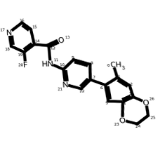 Cc1cc2c(cc1-c1ccc(NC(=O)c3ccncc3F)nc1)OCCO2